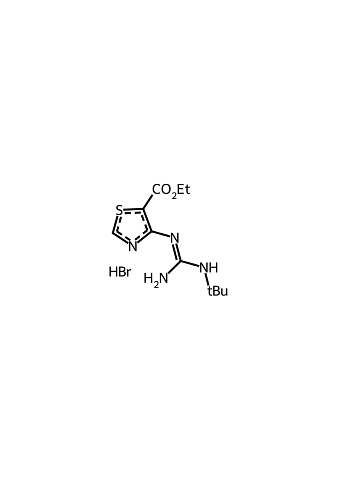 Br.CCOC(=O)c1scnc1/N=C(\N)NC(C)(C)C